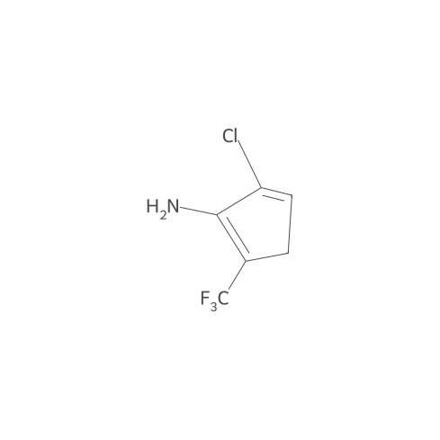 NC1=C(C(F)(F)F)CC=C1Cl